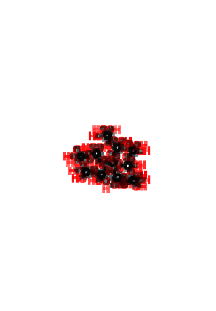 O=C(C[C@@H]1[C@@H](OC(=O)c2cc(O)c(O)c(OC(=O)c3cc(O)c(O)c(O)c3)c2)[C@@H](OC(=O)c2cc(O)c(O)c(OC(=O)c3cc(O)c(O)c(O)c3)c2)O[C@H](COC(=O)c2cc(O)c(O)c(OC(=O)c3cc(O)c(O)c(O)c3)c2)[C@H]1OC(=O)c1cc(O)c(O)c(OC(=O)c2cc(O)c(O)c(O)c2)c1)c1cc(O)c(O)c(OC(=O)c2cc(O)c(O)c(O)c2)c1